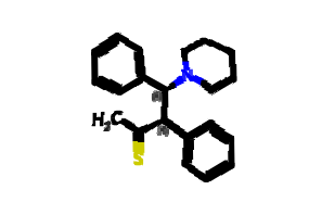 CC(=S)[C@H](c1ccccc1)[C@@H](c1ccccc1)N1CCCCC1